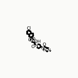 CN1C=C2C(=O)N(C3CCN(C(=O)[C@@H](O)CS(=O)(=O)c4ccc5cc(Cl)ccc5c4)CC3)CN2C1